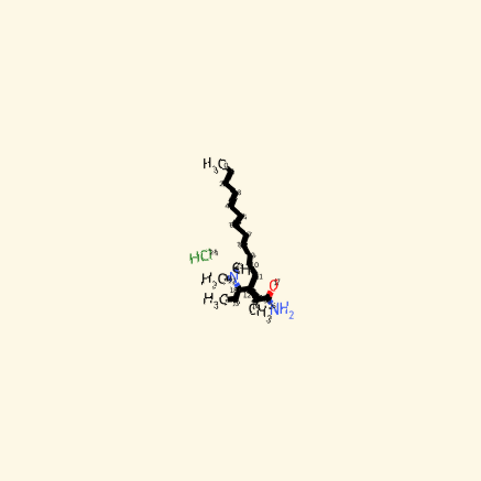 CCCCCCCCCCCCC(=C(C)C(N)=O)C(CC)N(C)C.Cl